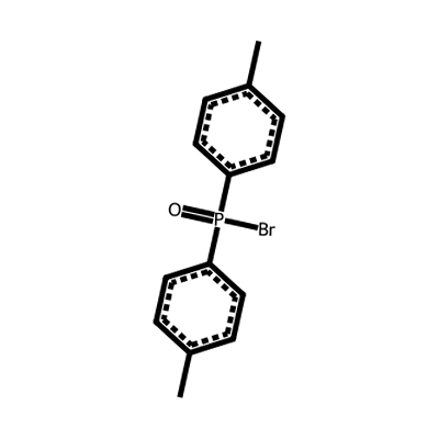 Cc1ccc(P(=O)(Br)c2ccc(C)cc2)cc1